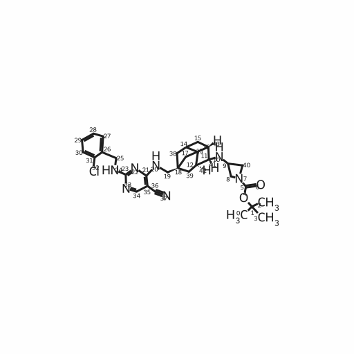 CC(C)(C)OC(=O)N1CC(N[C@@H]2[C@@H]3CC4C[C@H]2C[C@@](CNc2nc(NCc5ccccc5Cl)ncc2C#N)(C4)C3)C1